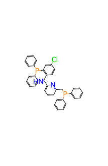 N=C(c1cccc(CP(c2ccccc2)c2ccccc2)n1)c1ccc(Cl)cc1P(c1ccccc1)c1ccccc1